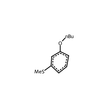 CCCCOc1cccc(SC)c1